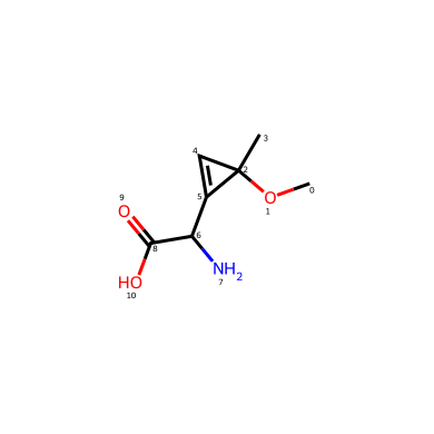 COC1(C)C=C1C(N)C(=O)O